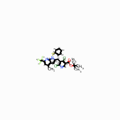 Cc1cc(C(F)(F)F)nc2c1cc(Cc1c(Cl)ncc(C(=O)OC(C)(C)C)c1Cl)n2Sc1ccccc1